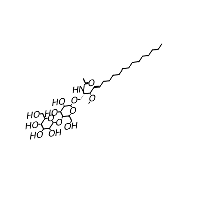 CCCCCCCCCCCCC/C=C/[C@H](OC)[C@H](CO[C@@H]1OC(CO)[C@@H](O[C@@H]2OC(CO)[C@H](O)C(O)[C@@H]2O)C(O)[C@@H]1O)NC(C)=O